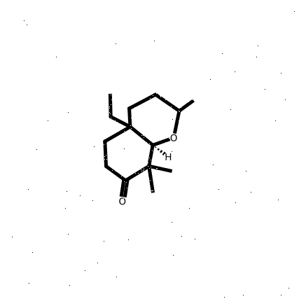 CCC12CCC(=O)C(C)(C)[C@@H]1OC(C)CC2